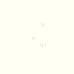 [C-]#[N+]c1ccc(NC2CC2)c(N)c1